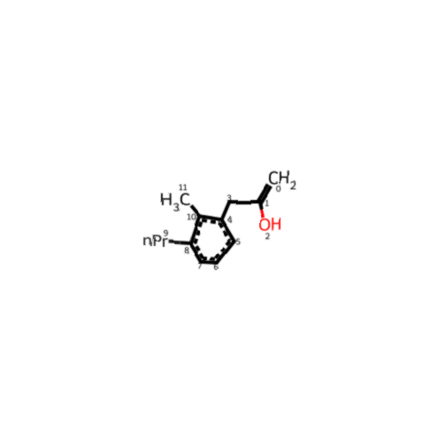 C=C(O)Cc1cccc(CCC)c1C